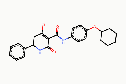 O=C(Nc1ccc(OC2CCCCC2)cc1)C1=C(O)CC(c2ccccc2)NC1=O